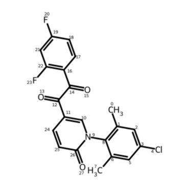 Cc1cc(Cl)cc(C)c1-n1cc(C(=O)C(=O)c2ccc(F)cc2F)ccc1=O